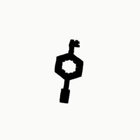 C#Cc1ccc([At])cc1